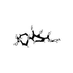 O=C(NO)c1cnc(N2CCS(=O)(=O)CC2)c(F)c1